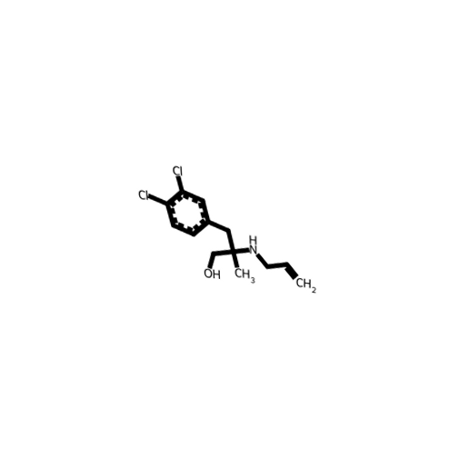 C=CCNC(C)(CO)Cc1ccc(Cl)c(Cl)c1